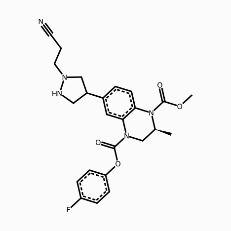 COC(=O)N1c2ccc(C3CNN(CCC#N)C3)cc2N(C(=O)Oc2ccc(F)cc2)C[C@@H]1C